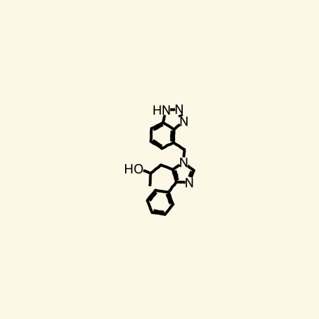 CC(O)Cc1c(-c2ccccc2)ncn1Cc1cccc2[nH]nnc12